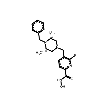 C[C@@H]1CN(Cc2ccc(C(=O)NO)nc2F)C[C@H](C)N1Cc1ccccc1